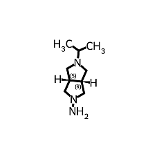 CC(C)N1C[C@H]2CN(N)C[C@H]2C1